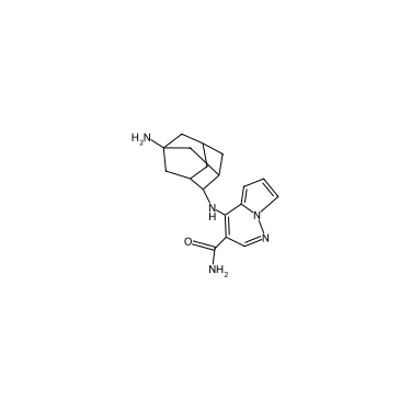 NC(=O)c1cnn2cccc2c1NC1C2CC3CC1CC(N)(C3)C2